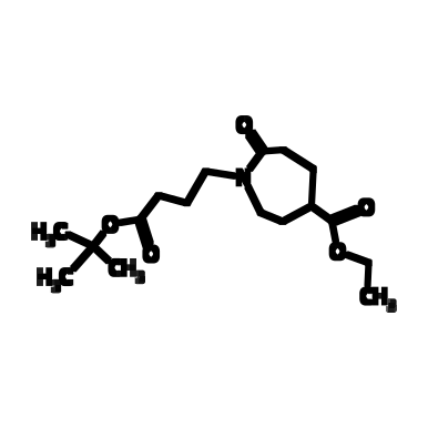 CCOC(=O)C1CCC(=O)N(CCCC(=O)OC(C)(C)C)CC1